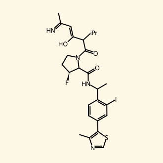 CC(=N)/C=C(\O)C(C(=O)N1CC[C@H](F)C1C(=O)NC(C)c1ccc(-c2scnc2C)cc1I)C(C)C